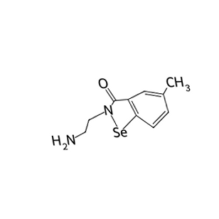 Cc1ccc2[se]n(CCN)c(=O)c2c1